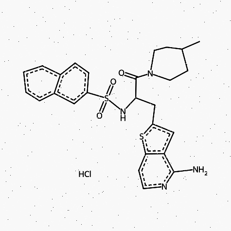 CC1CCN(C(=O)C(Cc2cc3c(N)nccc3s2)NS(=O)(=O)c2ccc3ccccc3c2)CC1.Cl